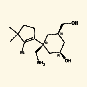 CCC1=C([C@@]2(CN)C[C@H](O)C[C@H](CO)C2)CCC1(C)C